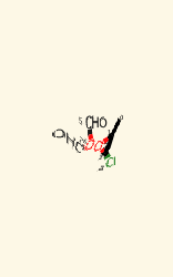 CC1OC1Cl.O=COC=O